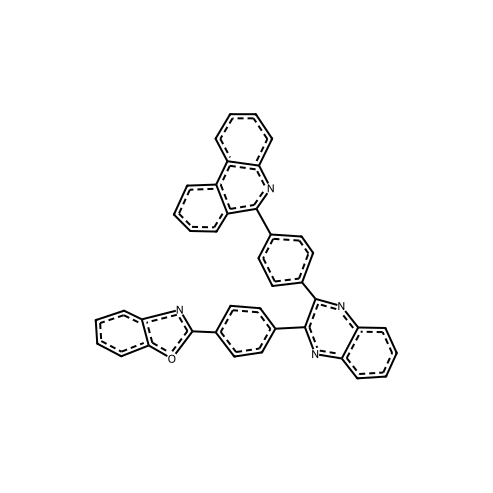 c1ccc2nc(-c3ccc(-c4nc5ccccc5c5ccccc45)cc3)c(-c3ccc(-c4nc5ccccc5o4)cc3)nc2c1